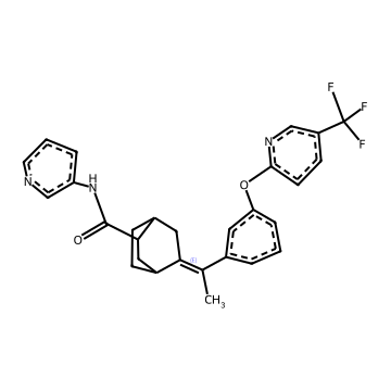 C/C(=C1/CC2CCC1CC2C(=O)Nc1cccnc1)c1cccc(Oc2ccc(C(F)(F)F)cn2)c1